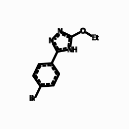 CCOc1nnc(-c2ccc(Br)cc2)[nH]1